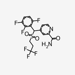 NC(=O)c1cc(C(c2c(F)ccc(F)c2F)S(=O)(=O)CCC(F)(F)F)ccn1